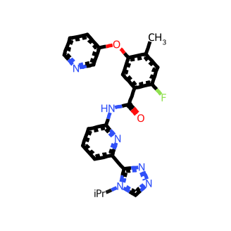 Cc1cc(F)c(C(=O)Nc2cccc(-c3nncn3C(C)C)n2)cc1Oc1cccnc1